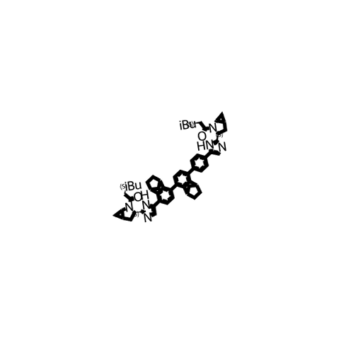 CC[C@H](C)CC(=O)N1C2CC2C[C@H]1c1ncc(-c2ccc(-c3ccc(-c4ccc(-c5cnc([C@@H]6CC7CC7N6C(=O)C[C@@H](C)CC)[nH]5)c5c4C4CCC5C4)c4c3C3CCC4C3)cc2)[nH]1